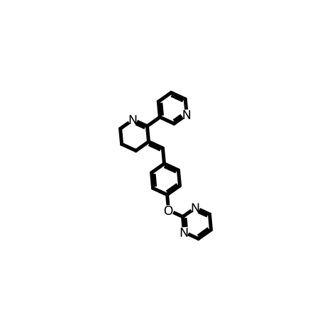 C(=C1CCCN=C1c1cccnc1)c1ccc(Oc2ncccn2)cc1